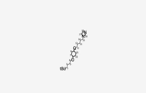 [CH2]C(C)(C)CCC[CH]Oc1ccc(OCCCCCn2ccnc2)cc1